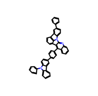 c1ccc(-c2ccc3c(c2)c2cccc4c5c(-c6ccc(-c7ccc8c(c7)c7ccccc7n8-c7ccccc7)cc6)c6ccccc6nc5n3c24)cc1